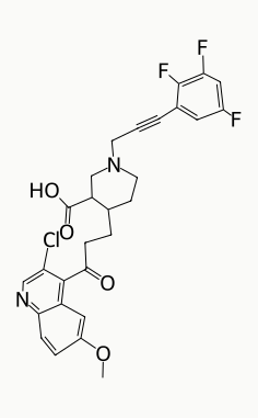 COc1ccc2ncc(Cl)c(C(=O)CCC3CCN(CC#Cc4cc(F)cc(F)c4F)CC3C(=O)O)c2c1